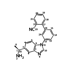 C[C@H](N)c1ccc2c(c1)ncn2-c1cccc(-c2ccccc2C#N)c1